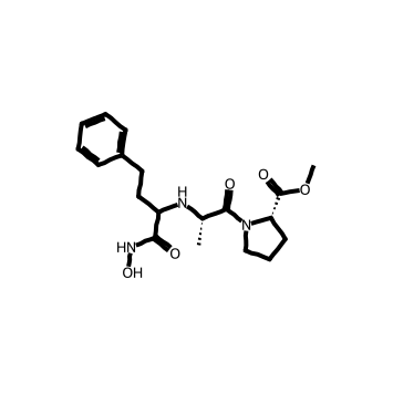 COC(=O)[C@@H]1CCCN1C(=O)[C@H](C)NC(CCc1ccccc1)C(=O)NO